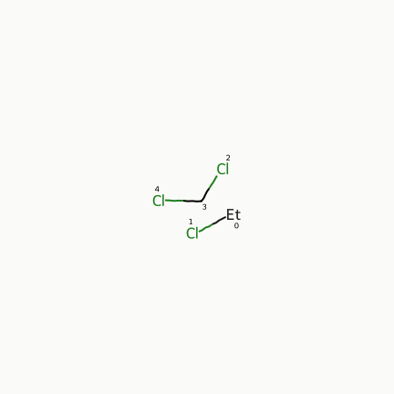 CCCl.ClCCl